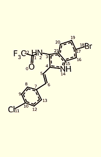 O=C(Nc1c(C=Cc2ccc(Cl)cc2)[nH]c2cc(Br)ccc12)C(F)(F)F